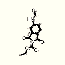 CCOC(=O)N1C(=O)c2ccc(NC=O)cc2C1=O